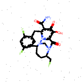 CC1CCC(CF)N2CN1n1c(Cc3ccc(F)cc3F)c(C(N)=O)c(=O)c(O)c1C2=O